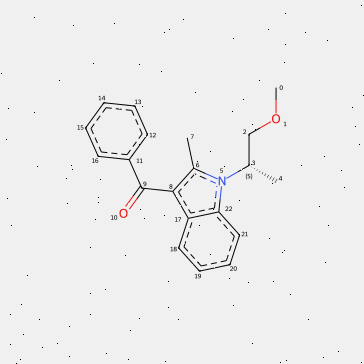 COC[C@H](C)n1c(C)c(C(=O)c2ccccc2)c2ccccc21